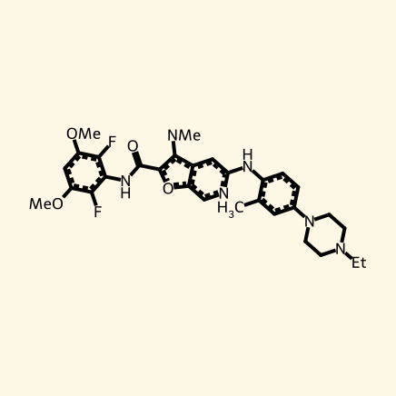 CCN1CCN(c2ccc(Nc3cc4c(NC)c(C(=O)Nc5c(F)c(OC)cc(OC)c5F)oc4cn3)c(C)c2)CC1